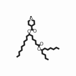 CCCCCCCCCC(CCCCC(=O)OC(CCCC)CCCCCC)OC(=O)C1CCN(C)CC1